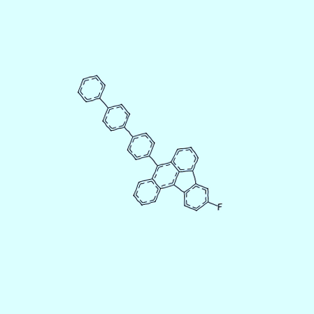 Fc1ccc2c(c1)-c1cccc3c(-c4ccc(-c5ccc(-c6ccccc6)cc5)cc4)c4ccccc4c-2c13